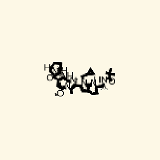 COc1cc(C(=O)N2[C@@H]3CC[C@@H](N)[C@H]2CC3)cc2nc(-c3cc4ccc([C@@H](C)NC(=O)C(C)(C)C)nc4n3CC3CC3)c(C)n12